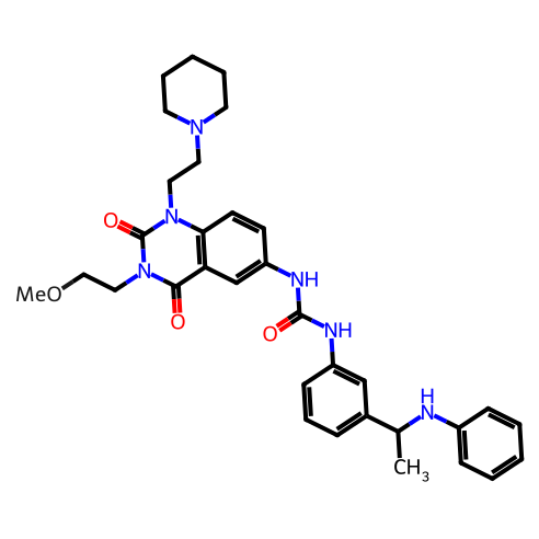 COCCn1c(=O)c2cc(NC(=O)Nc3cccc(C(C)Nc4ccccc4)c3)ccc2n(CCN2CCCCC2)c1=O